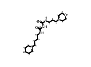 N=C(NCCCN1CCOCC1)NC(=O)NCCCCN1CCCCC1